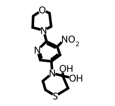 O=[N+]([O-])c1cc(N2CCSCC2(O)O)cnc1N1CCOCC1